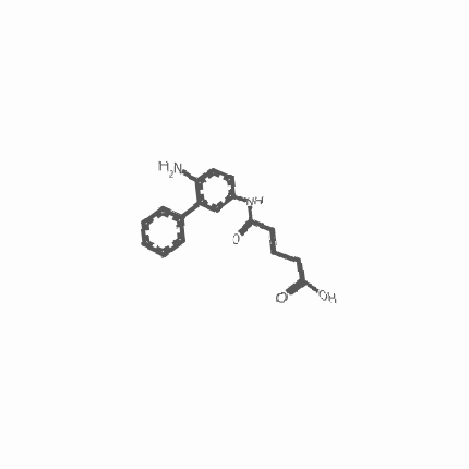 Nc1ccc(NC(=O)CCCC(=O)O)cc1-c1ccccc1